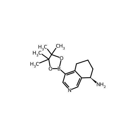 CC1(C)OB(c2cncc3c2CCC[C@H]3N)OC1(C)C